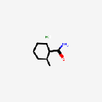 CC1CCCCC1C(N)=O.Cl